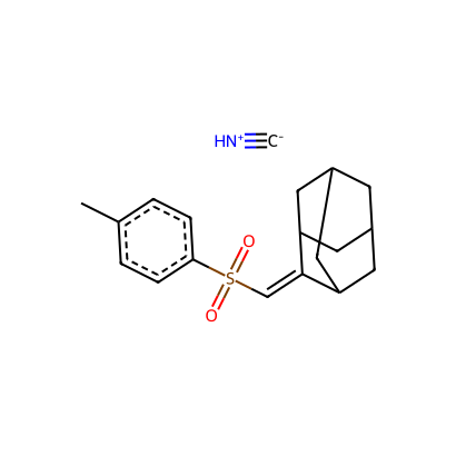 Cc1ccc(S(=O)(=O)C=C2C3CC4CC(C3)CC2C4)cc1.[C-]#[NH+]